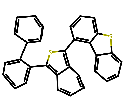 c1ccc(-c2ccccc2-c2sc(-c3cccc4sc5ccccc5c34)c3ccccc23)cc1